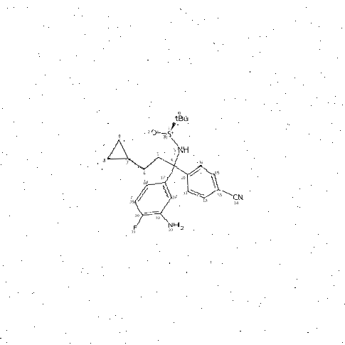 CC(C)(C)[S@+]([O-])NC(CCC1CC1)(c1ccc(C#N)cc1)c1ccc(F)c(N)c1